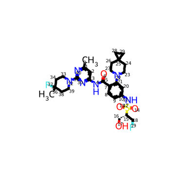 Cc1cc(NC(=O)c2ccc(NS(=O)(=O)[C@@H](CO)CF)cc2N2CCC3(CC2)CC3)nc(N2CCC(C)(F)CC2)n1